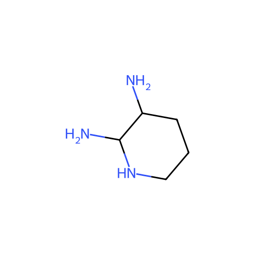 NC1CCCNC1N